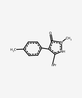 CCCc1[nH]n(C)c(=O)c1-c1ccc(C)cc1